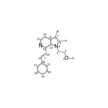 COCCn1c(C)c(C)c2ccnc(/C=C/c3ccccc3)c21